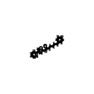 O=C(CCCCCc1ccccc1)Cc1nc(-c2ccccn2)co1